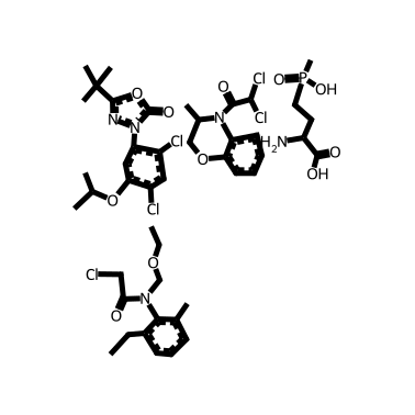 CC(C)Oc1cc(-n2nc(C(C)(C)C)oc2=O)c(Cl)cc1Cl.CC1COc2ccccc2N1C(=O)C(Cl)Cl.CCOCN(C(=O)CCl)c1c(C)cccc1CC.CP(=O)(O)CCC(N)C(=O)O